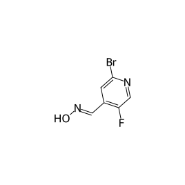 ON=Cc1cc(Br)ncc1F